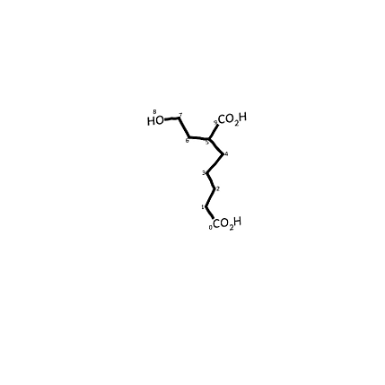 O=C(O)CCCCC(CCO)C(=O)O